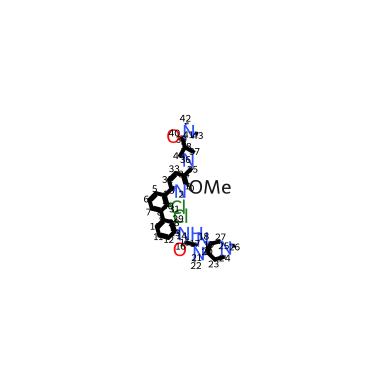 COc1nc(-c2cccc(-c3cccc(NC(=O)c4nc5c(n4C)CCN(C)C5)c3Cl)c2Cl)ccc1CN1CC(C(=O)N(C)C)C1